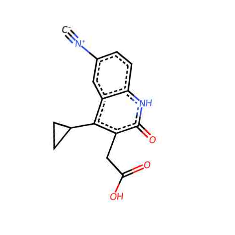 [C-]#[N+]c1ccc2[nH]c(=O)c(CC(=O)O)c(C3CC3)c2c1